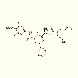 COc1c(C)cc(NC(=O)[C@H](CCc2ccccc2)NC(=O)[C@@H](N)CC(=O)N(CCN)CCN)cc1C